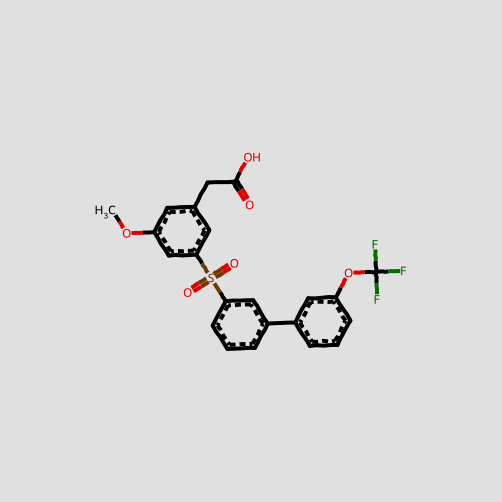 COc1cc(CC(=O)O)cc(S(=O)(=O)c2cccc(-c3cccc(OC(F)(F)F)c3)c2)c1